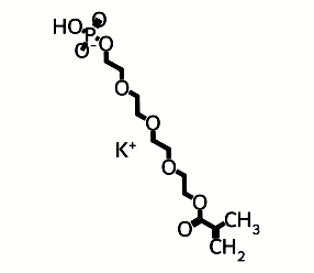 C=C(C)C(=O)OCCOCCOCCOCCOP(=O)([O-])O.[K+]